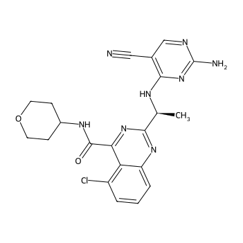 C[C@H](Nc1nc(N)ncc1C#N)c1nc(C(=O)NC2CCOCC2)c2c(Cl)cccc2n1